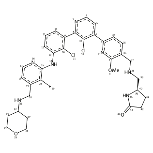 COc1nc(-c2ccnc(-c3cccc(Nc4nccc(CNC5CCOCC5)c4F)c3Cl)c2Cl)ccc1CNC[C@H]1CCC(=O)N1